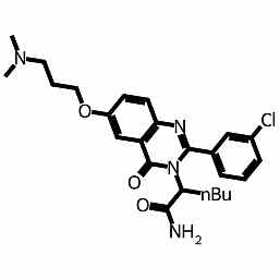 CCCCC(C(N)=O)n1c(-c2cccc(Cl)c2)nc2ccc(OCCCN(C)C)cc2c1=O